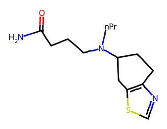 CCCN(CCCC(N)=O)C1CCc2ncsc2C1